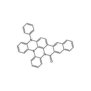 O=c1c2cc3ccccc3cc2c2ccc3c4c2n1-c1ccccc1B4c1ccccc1N3c1ccccc1